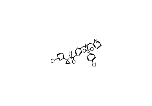 O=C(NC1(c2cccc(Cl)c2)CC1)c1ccc(CN(Cc2ccccn2)S(=O)(=O)c2ccc(Cl)cc2)cc1